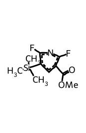 COC(=O)c1cc([Si](C)(C)C)c(F)nc1F